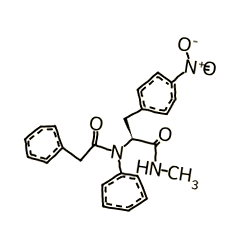 CNC(=O)[C@H](Cc1ccc([N+](=O)[O-])cc1)N(C(=O)Cc1ccccc1)c1ccccc1